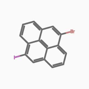 Brc1cc2cccc3c(I)cc4cccc1c4c23